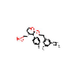 OCC[C@@H]1CCO[C@H](OCCc2cc(C(F)(F)F)cc(C(F)(F)F)c2)[C@H]1c1ccccc1